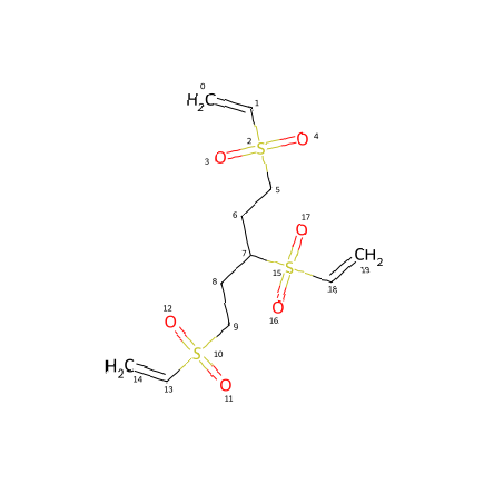 C=CS(=O)(=O)CCC(CCS(=O)(=O)C=C)S(=O)(=O)C=C